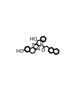 O=C(Cc1ccc2ccccc2c1)Nc1nc2c(nc1C(O)c1ccccc1)-c1ccc(O)cc1CC2